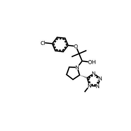 Cn1nnnc1[C@@H]1CCCN1C(O)C(C)(C)Oc1ccc(Cl)cc1